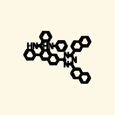 N=C(c1ccccc1)c1c(-c2ccccc2)cc2ccc(-c3nc(-c4ccc5ccccc5c4)nc(-c4ccc5ccccc5c4)n3)cc2c1Nc1ccccc1